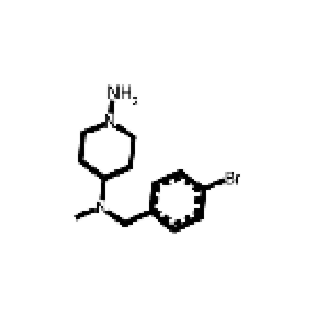 CN(Cc1ccc(Br)cc1)C1CCN(N)CC1